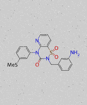 CSc1cccc(N2C(=O)N(Cc3cccc(N)c3)S(=O)(=O)c3cccnc32)c1